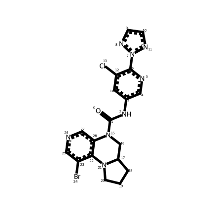 O=C(Nc1cnc(-n2nccn2)c(Cl)c1)N1CC2CCCN2c2c(Br)cncc21